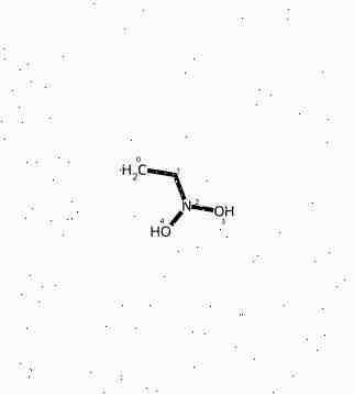 [CH2]CN(O)O